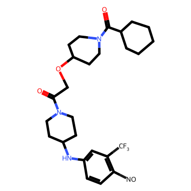 O=Nc1ccc(NC2CCN(C(=O)COC3CCN(C(=O)C4CCCCC4)CC3)CC2)cc1C(F)(F)F